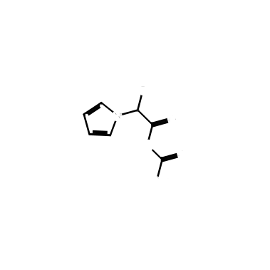 CCCC(=O)OC(=O)C(F)n1cccc1